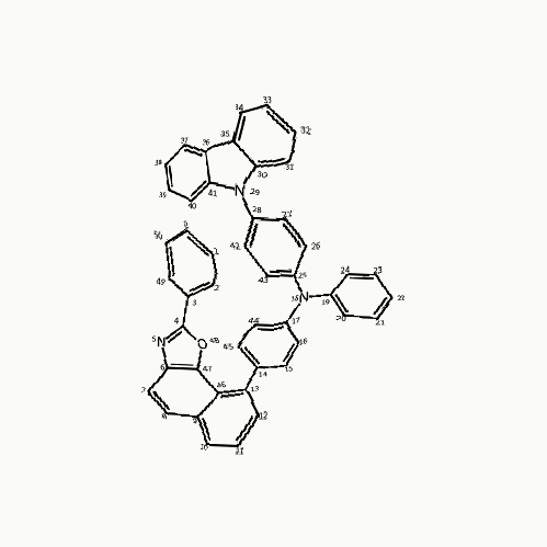 c1ccc(-c2nc3ccc4cccc(-c5ccc(N(c6ccccc6)c6ccc(-n7c8ccccc8c8ccccc87)cc6)cc5)c4c3o2)cc1